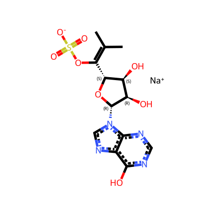 CC(C)=C(OS(=O)(=O)[O-])[C@H]1O[C@@H](n2cnc3c(O)ncnc32)[C@H](O)[C@@H]1O.[Na+]